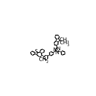 C=C1C=c2c(sc3ccccc23)=c2ccccc2=C1c1cccc(-c2ccc(-c3nc(-c4ccccc4)nc(-c4ccc5c(c4)C(C)(C)c4ccccc4-5)n3)cc2)c1